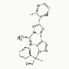 Cc1nccnc1-c1nc2c3cnn(C(C)(C=O)c4ccccc4)c3nc(N)n2n1